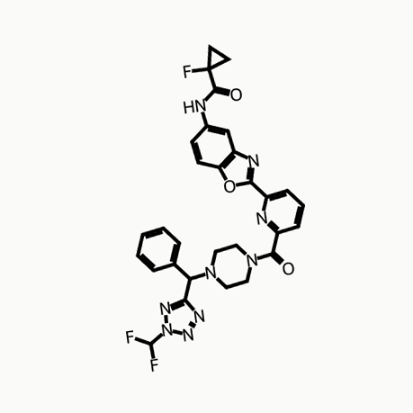 O=C(c1cccc(-c2nc3cc(NC(=O)C4(F)CC4)ccc3o2)n1)N1CCN(C(c2ccccc2)c2nnn(C(F)F)n2)CC1